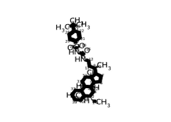 CC[C@H]1C[C@H]2C3CCC([C@H](C)CCNC(=O)NS(=O)(=O)c4ccc(C(C)(C)C)cc4)[C@@]3(C)CC[C@@H]2[C@@]2(C)CCCC[C@@H]12